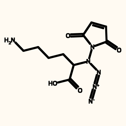 [N-]=[N+]=NN(C(CCCCN)C(=O)O)N1C(=O)C=CC1=O